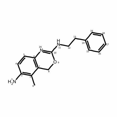 Cc1c(N)ccc2c1COC(NCCc1ccccc1)=N2